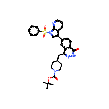 CC(C)(C)OC(=O)N1CCC(Cc2n[nH]c(=O)c3ccc(-c4cn(S(=O)(=O)c5ccccc5)c5ncccc45)cc23)CC1